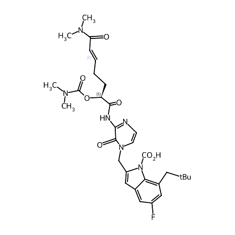 CN(C)C(=O)/C=C/CC[C@H](OC(=O)N(C)C)C(=O)Nc1nccn(Cc2cc3cc(F)cc(CC(C)(C)C)c3n2C(=O)O)c1=O